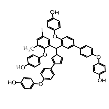 Cc1cc(I)cc(C(c2cc(-c3ccc(Oc4ccc(O)cc4)cc3)ccc2Oc2ccc(O)cc2)C2C=CC(c3ccc(Oc4ccc(O)cc4)cc3)=C2)c1Oc1ccc(O)cc1